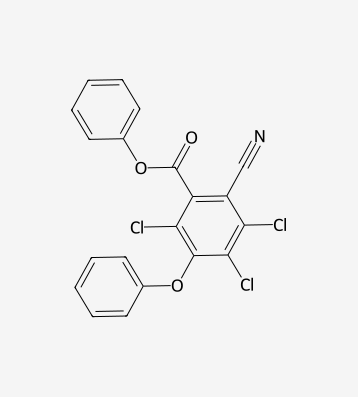 N#Cc1c(Cl)c(Cl)c(Oc2ccccc2)c(Cl)c1C(=O)Oc1ccccc1